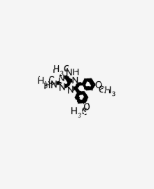 CNc1nc(NC)c2nc(-c3ccc(OC)cc3)c(-c3ccc(OC)cc3)nc2n1